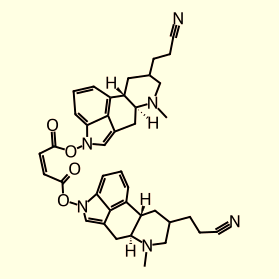 CN1CC(CCC#N)C[C@H]2c3cccc4c3c(cn4OC(=O)/C=C\C(=O)On3cc4c5c(cccc53)[C@@H]3CC(CCC#N)CN(C)[C@H]3C4)C[C@@H]21